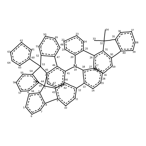 CC1(C)c2ccccc2-c2ccc(-c3ccccc3N(c3ccccc3-c3cccc4c3C(C)(C)c3ccccc3-4)c3cccc4c3-c3ccccc3C4(c3ccccc3)c3ccccc3)cc21